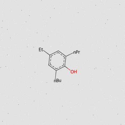 CCCCc1cc(CC)cc(CCC)c1O